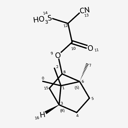 CC1(C)[C@@H]2CC[C@]1(C)C(OC(=O)C(C#N)S(=O)(=O)O)C2